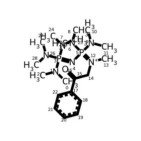 CN(C)P(=NP(N(C)C)(N(C)C)=[N+](C)CC(=O)c1ccccc1)(N(C)C)N(C)C